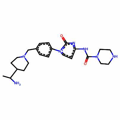 CC(N)C1CCN(Cc2ccc(-n3ccc(NC(=O)N4CCNCC4)nc3=O)cc2)CC1